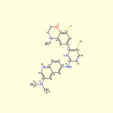 CC(C)N1CCOc2c(F)cc(-c3nc(Nc4ccc5ncc(N(C)C)cc5c4)ncc3F)cc21